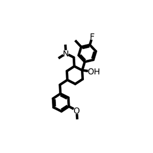 COc1cccc(CC2CCC(O)(c3ccc(F)c(C)c3)C(CN(C)C)C2)c1